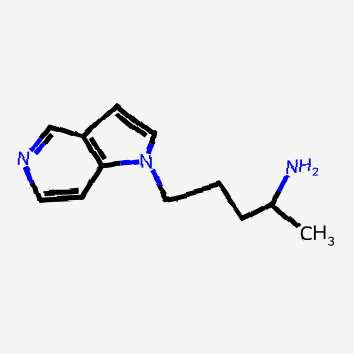 CC(N)CCCn1ccc2cnccc21